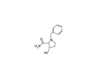 N#C[C]1CCN(Cc2ccccc2)C1C(N)=O